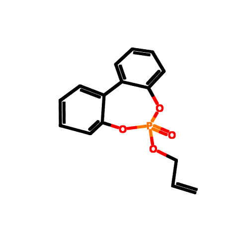 C=CCOP1(=O)Oc2ccccc2-c2ccccc2O1